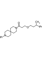 CC(C)C(C)CCOCCC(=O)N1CCC2(CC1)CCN(C(C)C)CC2